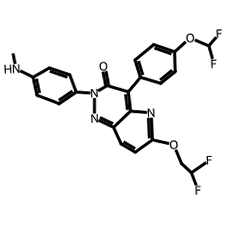 CNc1ccc(-n2nc3ccc(OCC(F)F)nc3c(-c3ccc(OC(F)F)cc3)c2=O)cc1